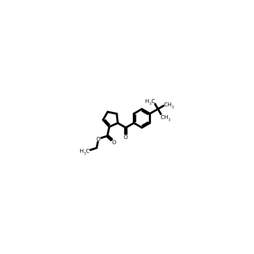 CCOC(=O)C1=CCCC1C(=O)c1ccc(C(C)(C)C)cc1